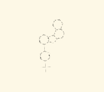 CC(C)(C)c1ccc(-c2cccc3c2oc2ccc4ccccc4c23)nc1